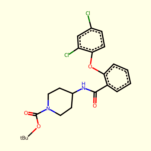 CC(C)(C)OC(=O)N1CCC(NC(=O)c2ccccc2Oc2ccc(Cl)cc2Cl)CC1